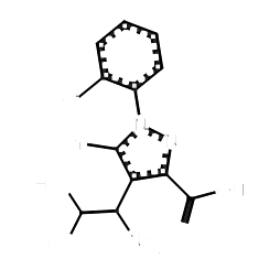 CC(C)C(N)c1c(C(=O)O)nn(-c2ccccc2Cl)c1Br